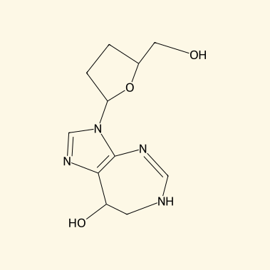 OCC1CCC(n2cnc3c2N=CNCC3O)O1